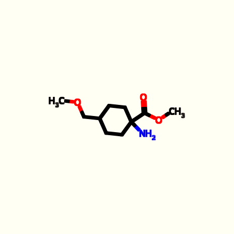 COCC1CCC(N)(C(=O)OC)CC1